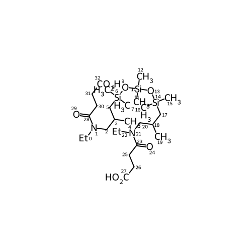 CCN(CC(C)C[Si](C)(C)O[Si](C)(C)O[Si](C)(C)CC(C)CN(CC)C(=O)CCC(=O)O)C(=O)CCC(=O)O